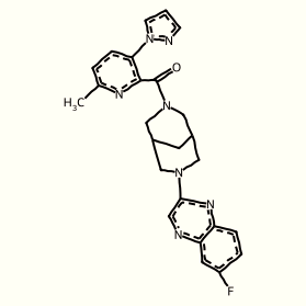 Cc1ccc(-n2cccn2)c(C(=O)N2CC3CC(C2)CN(c2cnc4cc(F)ccc4n2)C3)n1